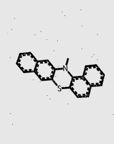 CN1c2cc3ccccc3cc2Sc2ccc3ccccc3c21